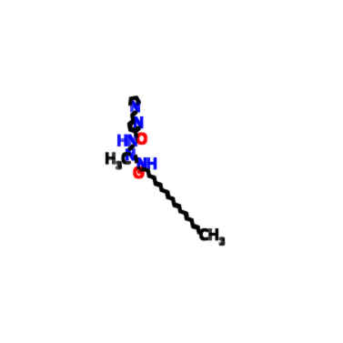 CCC=CCC=CCC=CCC=CCC=CCCCC(=O)NCCN(C)CCNC(=O)c1ccc(CCN2CCCC2)nc1